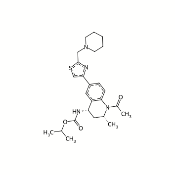 CC(=O)N1c2ccc(-c3csc(CN4CCCCC4)n3)cc2[C@@H](NC(=O)OC(C)C)C[C@H]1C